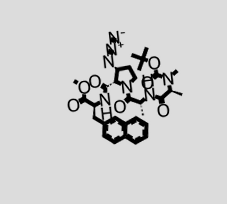 COC(=O)[C@H](Cc1ccc2ccccc2c1)NC(=O)[C@@H]1[C@H](N=[N+]=[N-])CCN1C(=O)[C@@H](C)NC(=O)[C@H](C)N(C)C(=O)OC(C)(C)C